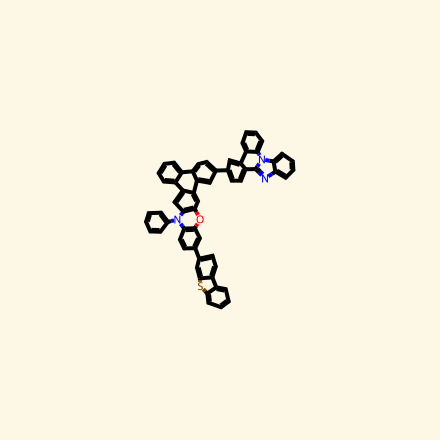 c1ccc(N2c3ccc(-c4ccc5c(c4)sc4ccccc45)cc3Oc3cc4c5cc(-c6ccc7c(c6)c6ccccc6n6c8ccccc8nc76)ccc5c5ccccc5c4cc32)cc1